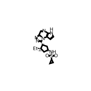 CC[C@@H]1C[C@@H](NS(=O)(=O)C2CC2)C[C@H]1c1nnc2cnc3[nH]ccc3n12